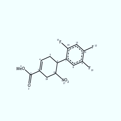 COC(=O)C1=CCC(c2cc(F)c(F)cc2F)C([N+](=O)[O-])C1